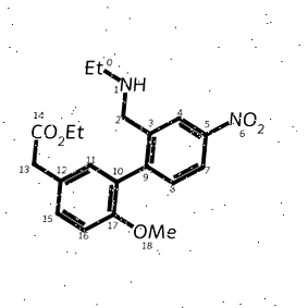 CCNCc1cc([N+](=O)[O-])ccc1-c1cc(CC(=O)OCC)ccc1OC